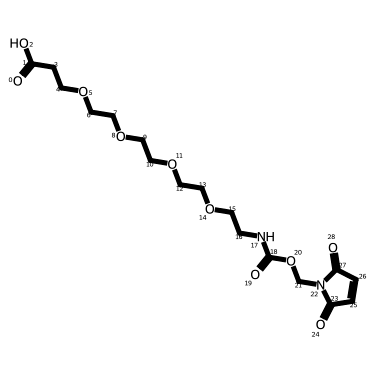 O=C(O)CCOCCOCCOCCOCCNC(=O)OCN1C(=O)C=CC1=O